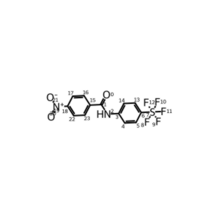 O=C(Nc1ccc(S(F)(F)(F)(F)F)cc1)c1ccc([N+](=O)[O-])cc1